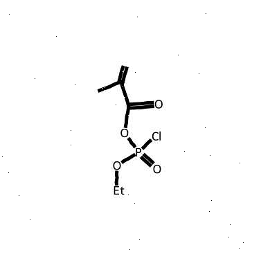 C=C(C)C(=O)OP(=O)(Cl)OCC